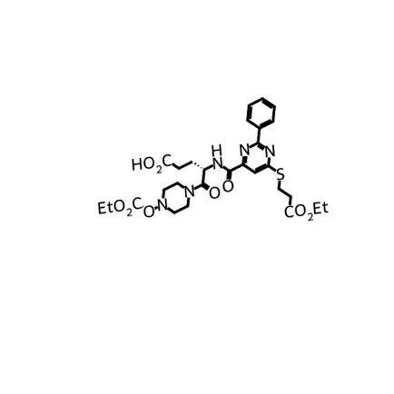 CCOC(=O)CCSc1cc(C(=O)N[C@@H](CCC(=O)O)C(=O)N2CCN(OC(=O)OCC)CC2)nc(-c2ccccc2)n1